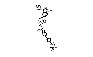 Cn1nc(-c2ccc(C3=CCN(C(=O)CN4CC[C@]5(CCN(c6ccc7[nH]nc(N8CCOCC8)c7c6)C5=O)C4)CC3)cc2)oc1=O